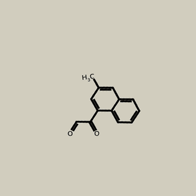 Cc1cc(C(=O)C=O)c2ccccc2c1